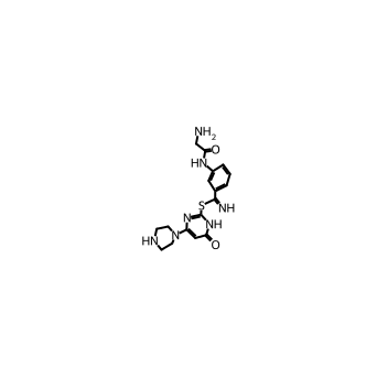 N=C(Sc1nc(N2CCNCC2)cc(=O)[nH]1)c1cccc(NC(=O)CN)c1